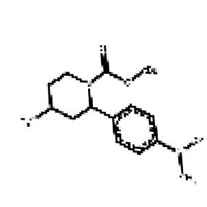 CC1CCN(C(=O)OC(C)(C)C)C(c2ccc([S+](C)[O-])cc2)C1